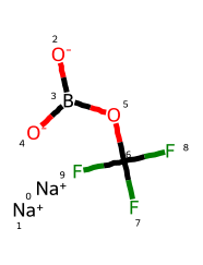 [Na+].[Na+].[O-]B([O-])OC(F)(F)F